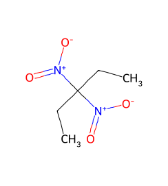 CCC(CC)([N+](=O)[O-])[N+](=O)[O-]